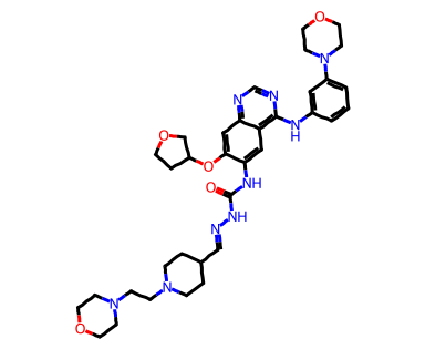 O=C(N/N=C/C1CCN(CCN2CCOCC2)CC1)Nc1cc2c(Nc3cccc(N4CCOCC4)c3)ncnc2cc1OC1CCOC1